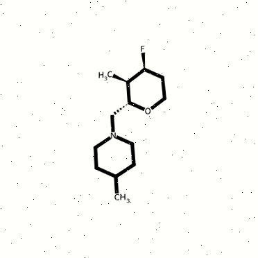 CC1CCN(C[C@H]2OCC[C@H](F)[C@@H]2C)CC1